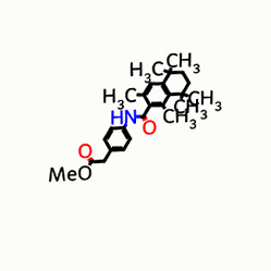 COC(=O)Cc1ccc(NC(=O)c2c(C)cc3c(c2C)C(C)(C)CCC3(C)C)cc1